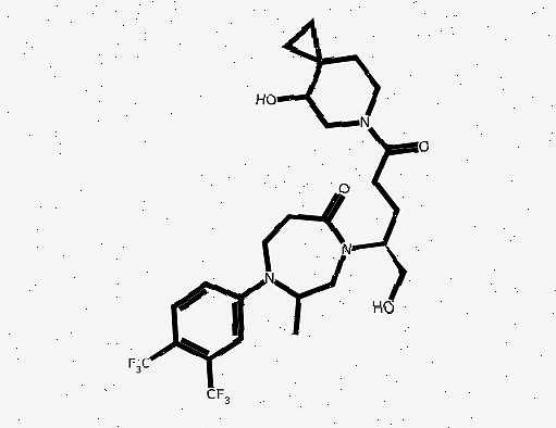 CC1CN([C@H](CO)CCC(=O)N2CCC3(CC3)C(O)C2)C(=O)CCN1c1ccc(C(F)(F)F)c(C(F)(F)F)c1